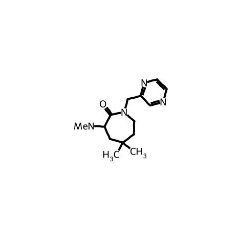 CNC1CC(C)(C)CCN(Cc2cnccn2)C1=O